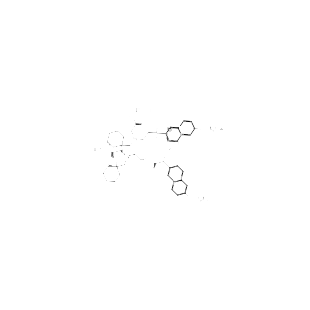 COc1ccc2cc([C@H](C)C(=O)OCCN(CC(=O)OC(C)(C)C)CC3(SSC4(CN(CC[C@](C)(C(=O)O)c5ccc6cc(OC)ccc6c5)CC(=O)OC(C)(C)C)CCCCC4)CCCCC3)ccc2c1